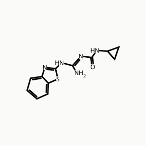 N/C(=N\C(=O)NC1CC1)Nc1nc2ccccc2s1